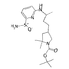 CC(CCC1CN(C(=O)OC(C)(C)C)C(C)(C)C1)Nc1cccc([S+](N)[O-])n1